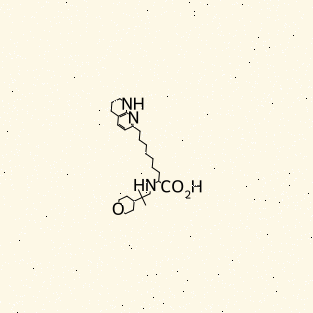 CC(C)(CN[C@@H](CCCCCCCc1ccc2c(n1)NCCC2)C(=O)O)C1CCOCC1